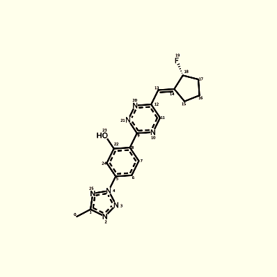 Cc1nnn(-c2ccc(-c3ncc(/C=C4\CCC[C@H]4F)nn3)c(O)c2)n1